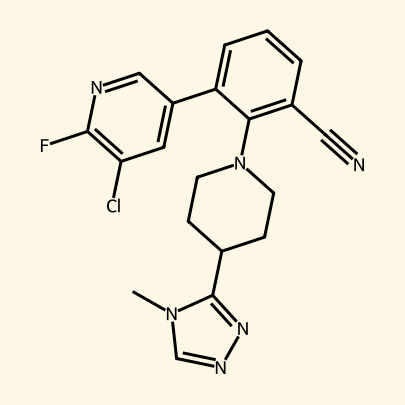 Cn1cnnc1C1CCN(c2c(C#N)cccc2-c2cnc(F)c(Cl)c2)CC1